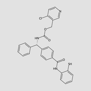 O=C(N[C@@H](c1ccccc1)c1ccc(C(=O)Nc2ccccc2S)cc1)OCc1cnccc1Cl